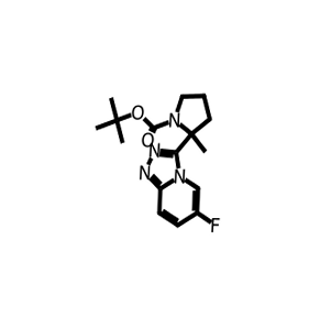 CC(C)(C)OC(=O)N1CCCC1(C)c1nnc2ccc(F)cn12